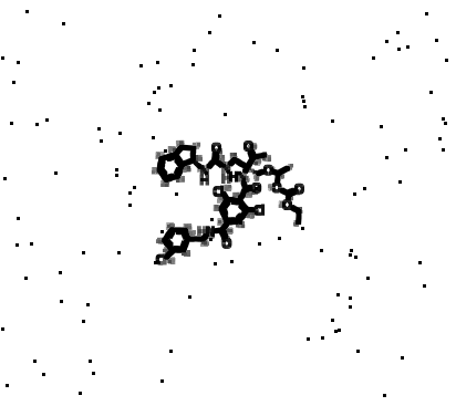 CCOC(=O)OC(C)OC[C@@](CNC(=O)N[C@@H]1CCc2ccccc21)(NC(=O)c1c(Cl)cc(C(=O)NCc2cccc(Cl)c2)cc1Cl)C(C)=O